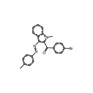 Cc1ccc(/N=N/c2c(C(=O)c3ccc(Br)cc3)n(C)c3ccccc23)cc1